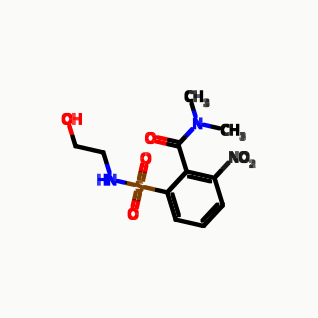 CN(C)C(=O)c1c([N+](=O)[O-])cccc1S(=O)(=O)NCCO